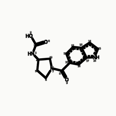 O=C(O)NC1CCN(C(=O)c2ccc3cc[nH]c3c2)C1